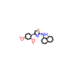 COc1ccc(-c2csc(Nc3cccc4ccccc34)n2)c(OC)c1